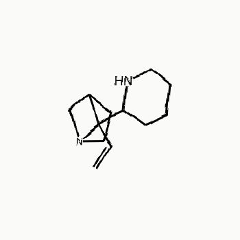 C=CC1(C2CCCCN2)C2CCN1C2